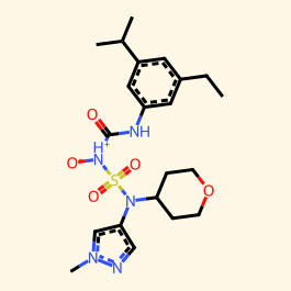 CCc1cc(NC(=O)[NH+]([O-])S(=O)(=O)N(c2cnn(C)c2)C2CCOCC2)cc(C(C)C)c1